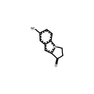 N#Cc1ccc2c(c1)cc1n2CCC1=O